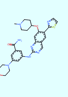 CN1CCC(Oc2cc3nc(Nc4cc(C(N)=O)cc(N5CCOCC5)c4)ncc3cc2-c2nccs2)CC1